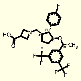 C[C@@H](O[C@H]1CC[C@@H](CN2CC(C(=O)O)C2)[C@@H]1c1ccc(F)cc1)c1cc(C(F)(F)F)cc(C(F)(F)F)c1